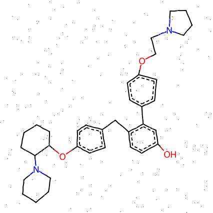 Oc1ccc(Cc2ccc(OC3CCCCC3N3CCCCC3)cc2)c(-c2ccc(OCCN3CCCC3)cc2)c1